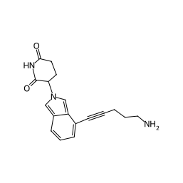 NCCCC#Cc1cccc2cn(C3CCC(=O)NC3=O)cc12